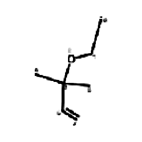 [CH2]COC(C)(C)C=C